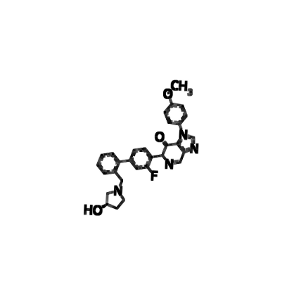 COc1ccc(-n2cnc3c2C(=O)C(c2ccc(-c4ccccc4CN4CC[C@@H](O)C4)cc2F)N=C3)cc1